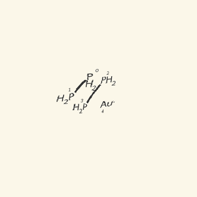 PP.PP.[Au]